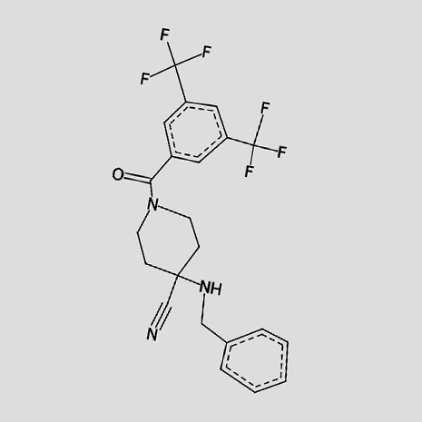 N#CC1(NCc2ccccc2)CCN(C(=O)c2cc(C(F)(F)F)cc(C(F)(F)F)c2)CC1